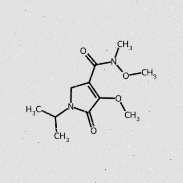 COC1=C(C(=O)N(C)OC)CN(C(C)C)C1=O